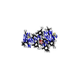 [C-]#[N+]c1c(C(C)(C)C)nn(-c2nc(C)ns2)c1N=Nc1c(C)cc(N(CCOCCN(c2cc(C)c(N=Nc3c(C#N)c(C(C)(C)C)nn3-c3nc(C)ns3)c(Nc3c(C)cc(C)cc3C)n2)c2c(C)cc(C)cc2C)c2c(C)cc(C)cc2C)nc1Nc1c(C)cc(C)cc1C